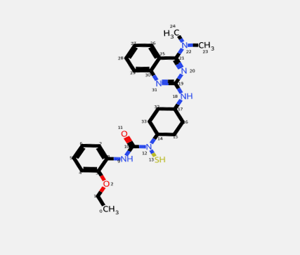 CCOc1ccccc1NC(=O)N(S)C1CCC(Nc2nc(N(C)C)c3ccccc3n2)CC1